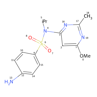 COc1cc(N(C(C)C)S(=O)(=O)c2ccc(N)cc2)nc(C)n1